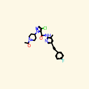 CC(=O)N1CCC(n2ncc(Cl)c2C(=O)Nc2ncc(C#Cc3ccc(F)cc3)cc2C)CC1